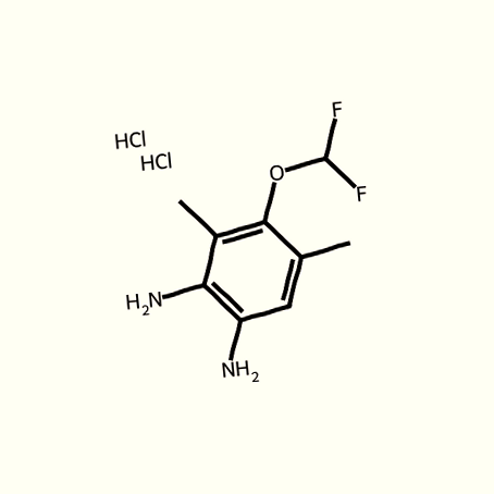 Cc1cc(N)c(N)c(C)c1OC(F)F.Cl.Cl